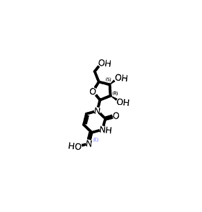 O=c1[nH]/c(=N/O)ccn1C1OC(CO)[C@@H](O)[C@H]1O